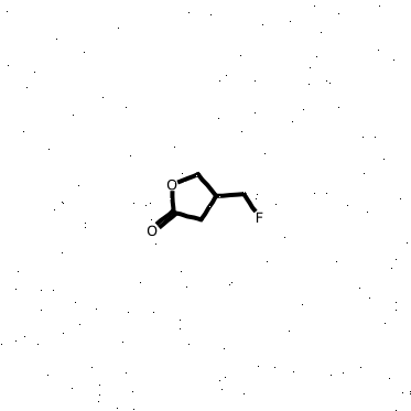 O=C1CC(CF)CO1